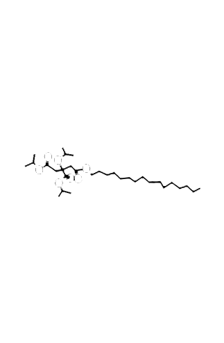 CCCCCCCCCCCCCCCCOC(=O)CC(CC(=O)OC(C)C)(OC(C)C)C(=O)OC(C)C